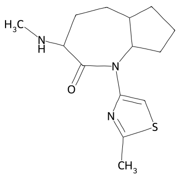 CNC1CCC2CCCC2N(c2csc(C)n2)C1=O